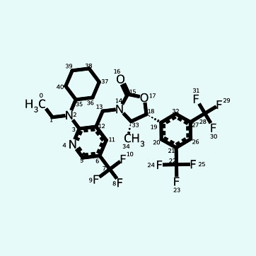 CCN(c1ncc(C(F)(F)F)cc1CN1C(=O)O[C@H](c2cc(C(F)(F)F)cc(C(F)(F)F)c2)[C@@H]1C)C1CCCCC1